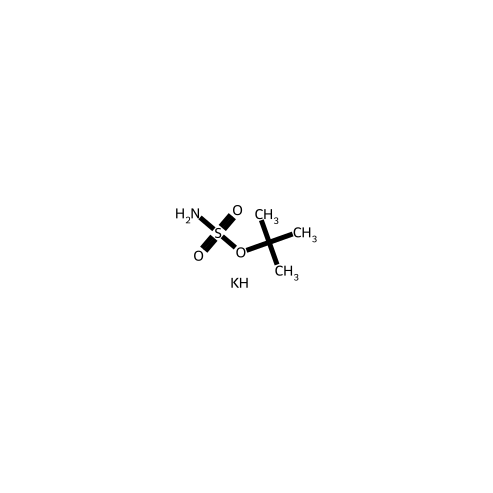 CC(C)(C)OS(N)(=O)=O.[KH]